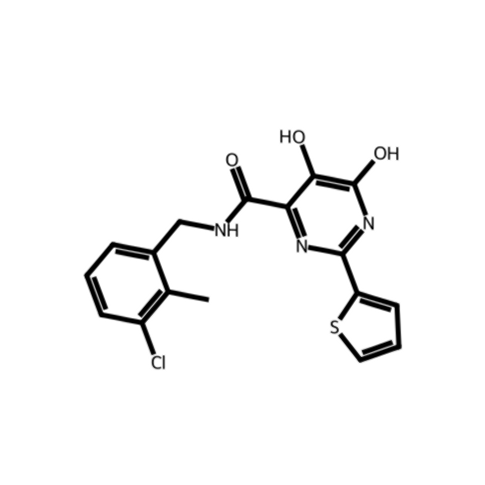 Cc1c(Cl)cccc1CNC(=O)c1nc(-c2cccs2)nc(O)c1O